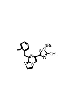 CCCCn1nc(-c2cn3ccnc3c(Cc3ccccc3F)n2)nc1C